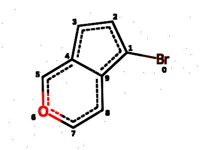 Brc1ccc2coccc1-2